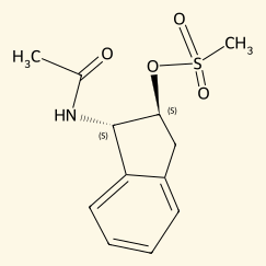 CC(=O)N[C@H]1c2ccccc2C[C@@H]1OS(C)(=O)=O